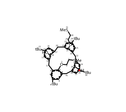 CSCCOc1c2cc(C(C)(C)C)cc1Cc1cc(C(C)(C)C)cc(c1O)Cc1cc(C(C)(C)C)cc(c1OCCSC)Cc1cc(C(C)(C)C)cc(c1O)C2